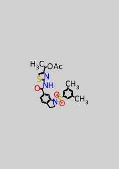 CC(=O)OC(C)c1csc(NC(=O)c2ccc3c(c2)N(S(=O)(=O)c2cc(C)cc(C)c2)CC3)n1